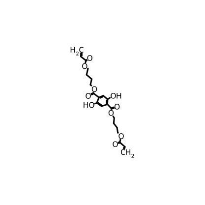 C=CC(=O)OCCCCOC(=O)c1cc(O)c(C(=O)OCCCCOC(=O)C=C)cc1O